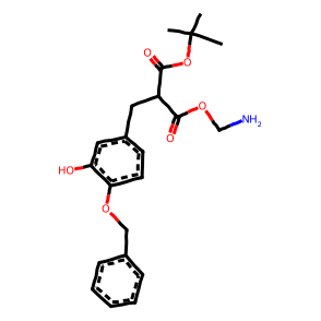 CC(C)(C)OC(=O)C(Cc1ccc(OCc2ccccc2)c(O)c1)C(=O)OCN